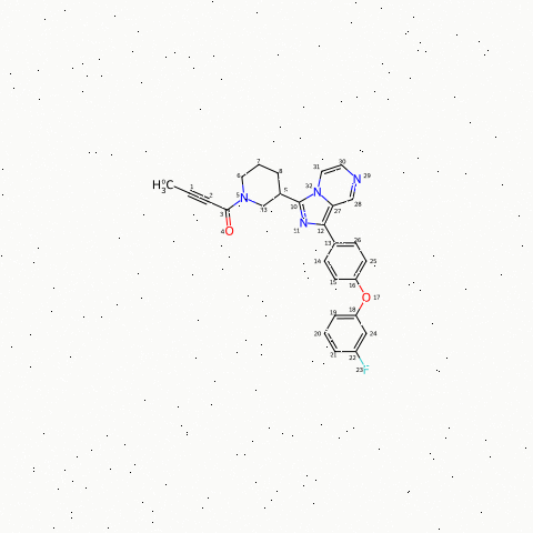 CC#CC(=O)N1CCCC(c2nc(-c3ccc(Oc4cccc(F)c4)cc3)c3cnccn23)C1